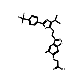 Cc1cc2c(CCc3sc(-c4ccc(C(F)(F)F)cc4)nc3C(C)C)noc2cc1SCC(=O)O